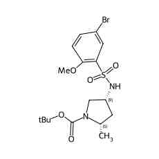 COc1ccc(Br)cc1S(=O)(=O)N[C@@H]1C[C@H](C)N(C(=O)OC(C)(C)C)C1